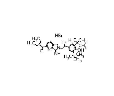 Br.CCN(CC)C(=O)c1ccc2c(n1)C(=N)N(CC(=O)c1cc(C(C)(C)C)c(O)c(C(C)(C)C)c1)C2